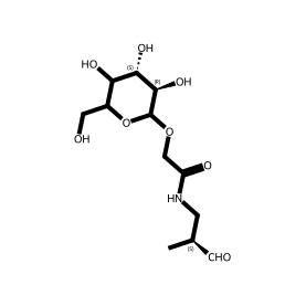 C[C@H](C=O)CNC(=O)COC1OC(CO)C(O)[C@H](O)[C@H]1O